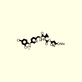 COc1cc(OC(=O)NC2(C(=O)NCc3ccc(Nc4ccc(Cl)cc4C(F)(F)F)cn3)CC2)on1